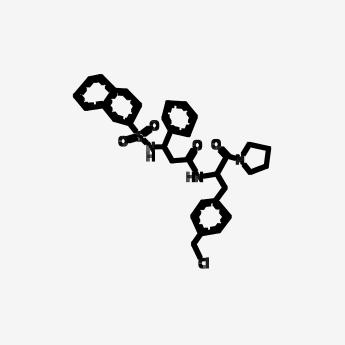 O=C(CC(NS(=O)(=O)c1ccc2ccccc2c1)c1ccccc1)NC(Cc1ccc(CCl)cc1)C(=O)N1CCCC1